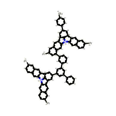 CC(C)c1ccc2cc3c(cc2c1)c1cc(-c2cc(-c4ccccc4)cc(-c4cccc(-c5cc(C(C)C)cc6cc7c8cc(-c9ccc(C(C)(C)C)cc9)cc9c%10cc%11cc(C(C)C)ccc%11cc%10n(c7cc56)c98)c4)c2)cc2c4cc5cc(C(C)C)ccc5cc4n3c12